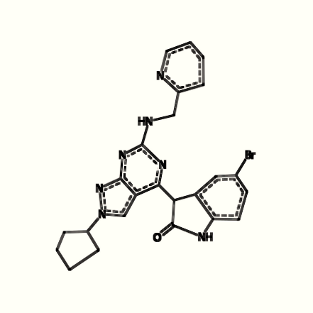 O=C1Nc2ccc(Br)cc2C1c1nc(NCc2ccccn2)nc2nn(C3CCCC3)cc12